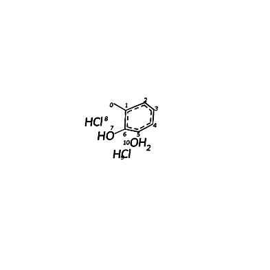 Cc1ccccc1O.Cl.Cl.O